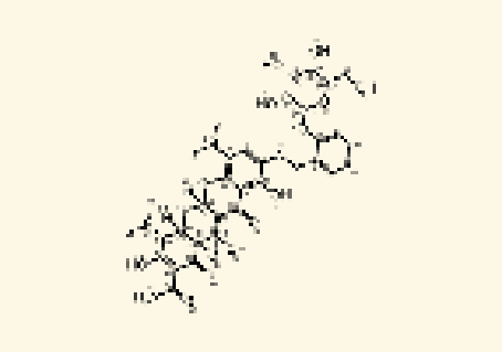 CN(C)c1cc(NCc2ccccc2O[C@@H]2O[C@H](CO)[C@@H](O)[C@@H](O)[C@H]2O)c(O)c2c1C[C@H]1C[C@H]3[C@H](N(C)C)C(O)=C(C(N)=O)C(=O)[C@@]3(O)C(O)=C1C2=O